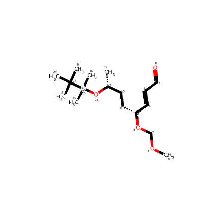 COCO[C@@H](C=CC=O)CC[C@@H](C)O[Si](C)(C)C(C)(C)C